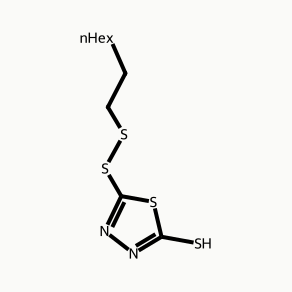 CCCCCCCCSSc1nnc(S)s1